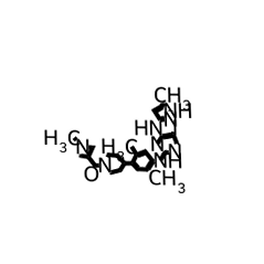 Cc1cc(Nc2nc(Nc3cc(C)c(C4CCN(C(=O)C5CN(C)C5)CC4)cc3C)ncc2I)n[nH]1